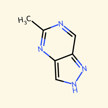 Cc1ncc2n[nH]cc2n1